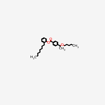 CCCCCCCCc1ccccc1OC(=O)c1ccc(C(C)OCCCCC)cc1